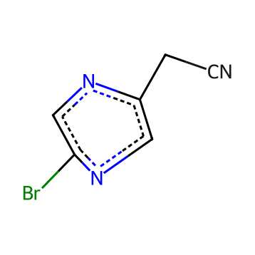 N#CCc1cnc(Br)cn1